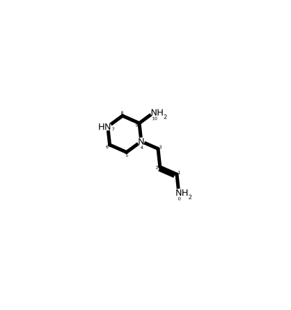 NC=CCN1CCNCC1N